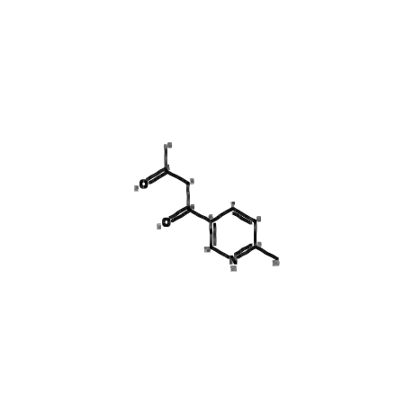 CC(=O)CC(=O)c1ccc(C)nc1